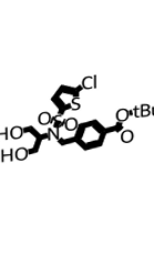 CC(C)(C)OC(=O)c1ccc(CN(C(CO)CO)S(=O)(=O)c2ccc(Cl)s2)cc1